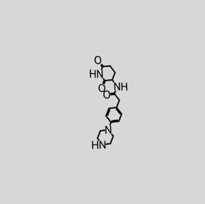 O=C1CCC(NC(=O)Cc2ccc(N3CCNCC3)cc2)C(=O)N1